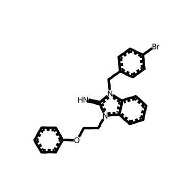 N=c1n(CCOc2ccccc2)c2ccccc2n1Cc1ccc(Br)cc1